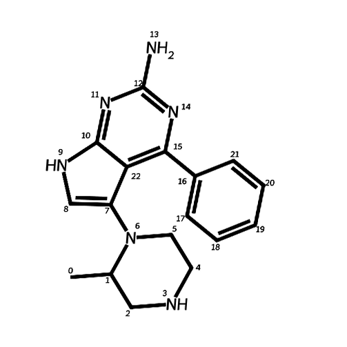 CC1CNCCN1c1c[nH]c2nc(N)nc(-c3ccccc3)c12